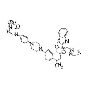 C=C(CC1CO[C@](Cn2cccn2)(c2nc3ccccc3s2)O1)c1ccc(N2CCN(c3ccc(-n4cnn(C(C)CC)c4=O)cc3)CC2)cc1